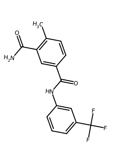 Cc1ccc(C(=O)Nc2cccc(C(F)(F)F)c2)cc1C(N)=O